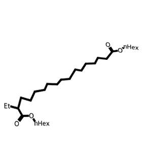 CCCCCCOC(=O)CCCCCCCCCCCCCCC(CC)C(=O)OCCCCCC